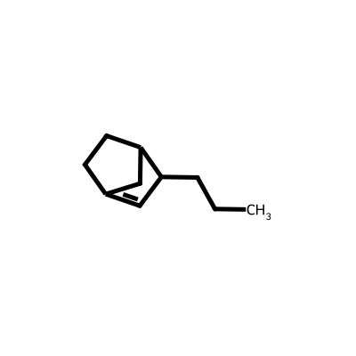 CCCC1C=C2CCC1C2